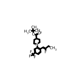 CC/C(F)=C/c1ccc(C(F)(F)F)cc1N1CCC(C(=O)OC(C)(C)C)CC1